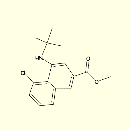 COC(=O)c1cc(NC(C)(C)C)c2c(Cl)cccc2c1